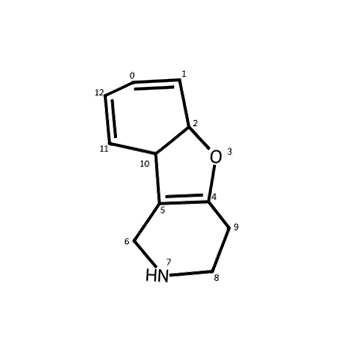 C1=CC2OC3=C(CNCC3)C2C=C1